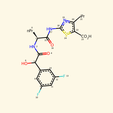 CCC[C@H](NC(=O)C(O)c1cc(F)cc(F)c1)C(=O)Nc1nc(C(C)C)c(C(=O)O)s1